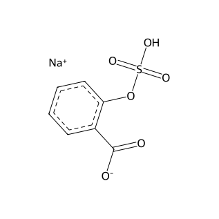 O=C([O-])c1ccccc1OS(=O)(=O)O.[Na+]